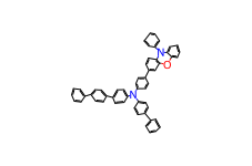 c1ccc(-c2ccc(-c3ccc(N(c4ccc(-c5ccccc5)cc4)c4ccc(-c5ccc6c(c5)Oc5ccccc5N6c5ccccc5)cc4)cc3)cc2)cc1